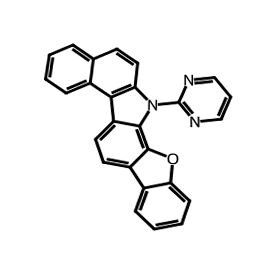 c1cnc(-n2c3ccc4ccccc4c3c3ccc4c5ccccc5oc4c32)nc1